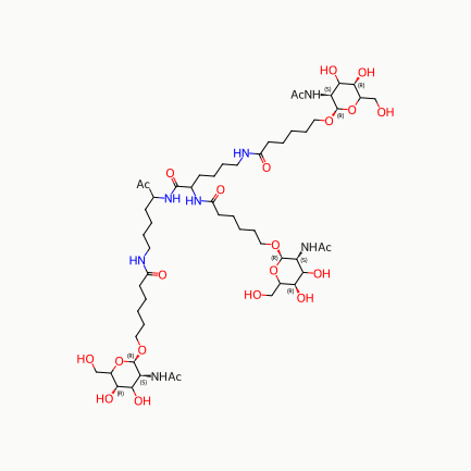 CC(=O)N[C@H]1C(O)[C@@H](O)C(CO)O[C@H]1OCCCCCC(=O)NCCCCC(NC(=O)C(CCCCNC(=O)CCCCCO[C@@H]1OC(CO)[C@H](O)C(O)[C@@H]1NC(C)=O)NC(=O)CCCCCO[C@@H]1OC(CO)[C@H](O)C(O)[C@@H]1NC(C)=O)C(C)=O